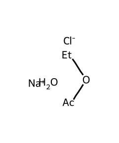 CCOC(C)=O.O.[Cl-].[Na+]